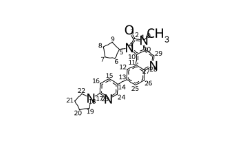 Cn1c(=O)n(C2CCCC2)c2c3cc(-c4ccc(N5CCCC5)nc4)ccc3ncc21